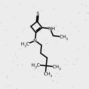 CCNC1=C(N(C)CCCC(C)(C)C)CC1=S